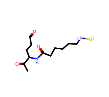 CC(=O)C(CCC=O)NC(=O)CCCCCNS